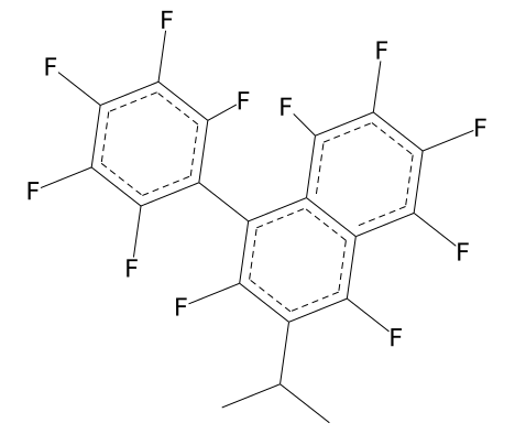 CC(C)c1c(F)c(-c2c(F)c(F)c(F)c(F)c2F)c2c(F)c(F)c(F)c(F)c2c1F